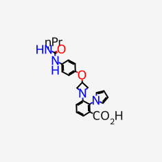 CCCNC(=O)Nc1ccc(OC2CN(c3cccc(C(=O)O)c3-n3cccc3)C2)cc1